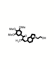 COc1cc(C(=O)C(C)=Cc2ccc3c(ccn3CCO)c2)cc(OC)c1OC